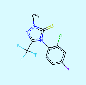 Cn1nc(C(F)(F)F)n(-c2ccc(I)cc2Cl)c1=S